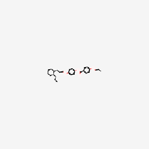 CCCOc1ccc(C(=O)Oc2ccc(OCCCC3CCCCC3CCC)cc2)cc1